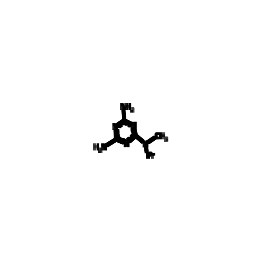 CC(C)N(C)c1nc(N)nc(N)n1